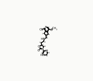 COc1cnc(Cl)c2c1CC(CNCCC1CN(C3=CNCC=N3)C(=O)O1)C2